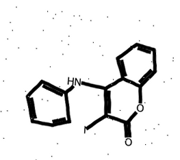 O=c1oc2ccccc2c(Nc2ccccc2)c1I